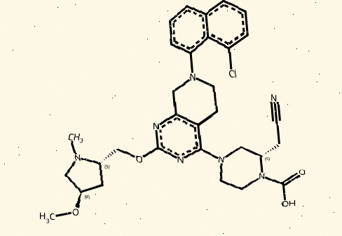 CO[C@@H]1C[C@@H](COc2nc3c(c(N4CCN(C(=O)O)[C@@H](CC#N)C4)n2)CCN(c2cccc4cccc(Cl)c24)C3)N(C)C1